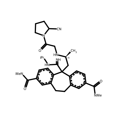 CNC(=O)c1ccc2c(c1)CCc1cc(C(=O)NC)ccc1C2(C[C@H](C)NCC(=O)N1CCCC1C#N)C(=N)NC(C)C